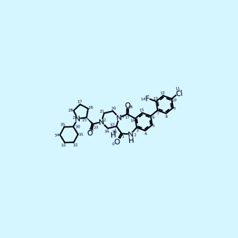 O=C1Nc2ccc(-c3ccc(Cl)cc3F)cc2C(=O)N2CCN(C(=O)[C@@H]3CCCN3C3CCCCC3)C[C@H]12